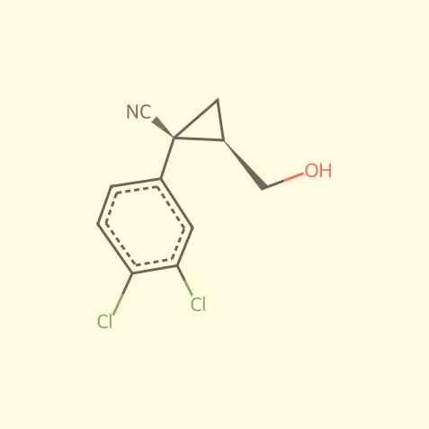 N#C[C@@]1(c2ccc(Cl)c(Cl)c2)C[C@H]1CO